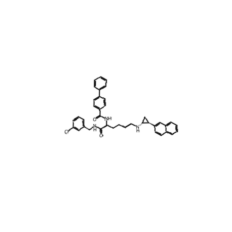 O=C(NC(CCCCN[C@@H]1C[C@H]1c1ccc2ccccc2c1)C(=O)NCc1cccc(Cl)c1)c1ccc(-c2ccccc2)cc1